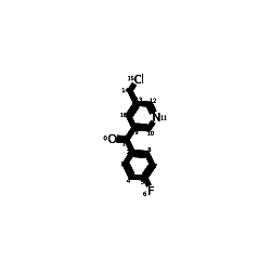 O=C(c1ccc(F)cc1)c1cncc(CCl)c1